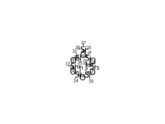 C[SiH](C)O[Si](C)(C)O[Si](C)(C)O[Si](C)(C)O[Si](C)(C)O[Si](C)(C)O[Si](C)(C)C